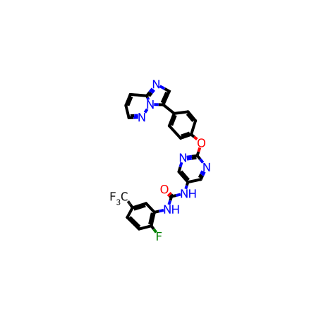 O=C(Nc1cnc(Oc2ccc(-c3cnc4cccnn34)cc2)nc1)Nc1cc(C(F)(F)F)ccc1F